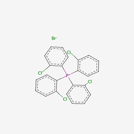 Clc1ccccc1[P+](c1ccccc1Cl)(c1ccccc1Cl)c1ccccc1Cl.[Br-]